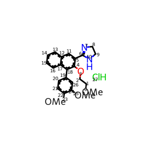 COCCOc1c(C2=NCCN2)cc2ccccc2c1-c1ccc(OC)c(OC)c1.Cl